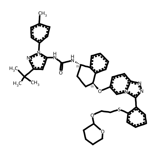 Cc1ccc(-n2nc(C(C)(C)C)cc2NC(=O)N[C@H]2CC[C@H](Oc3ccc4nnc(-c5ccccc5SCCOC5CCCCO5)n4c3)c3ccccc32)cc1